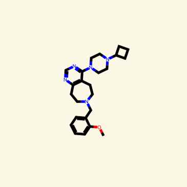 COc1ccccc1CN1CCc2ncnc(N3CCN(C4CCC4)CC3)c2CC1